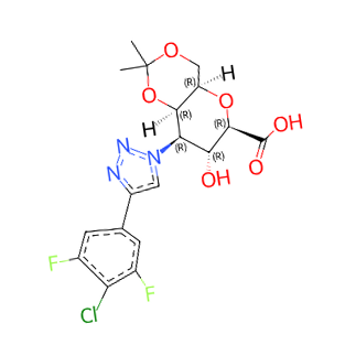 CC1(C)OC[C@H]2O[C@@H](C(=O)O)[C@H](O)[C@@H](n3cc(-c4cc(F)c(Cl)c(F)c4)nn3)[C@H]2O1